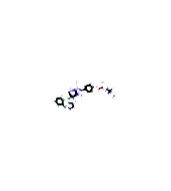 CN(C)C(C)(C)CNC(=O)COc1ccc(-c2nc3c(NC4CCN(Cc5ccccc5)C4)c(Cl)cnc3[nH]2)cc1